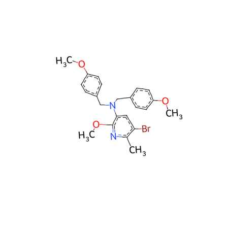 COc1ccc(CN(Cc2ccc(OC)cc2)c2cc(Br)c(C)nc2OC)cc1